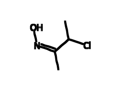 CC(=NO)C(C)Cl